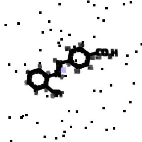 CC(C)c1ccccc1/N=N/c1ccc(C(=O)O)cc1